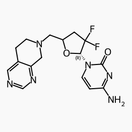 Nc1ccn([C@@H]2OC(CN3CCc4cncnc4C3)CC2(F)F)c(=O)n1